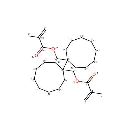 C=C(C)C(=O)OCC1(C2(COC(=O)C(=C)C)CCCCCCCC2)CCCCCCCC1